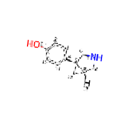 Oc1ccc([C@@]23CNC[C@@H]2C3)cc1